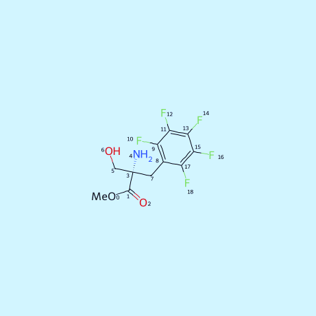 COC(=O)[C@@](N)(CO)Cc1c(F)c(F)c(F)c(F)c1F